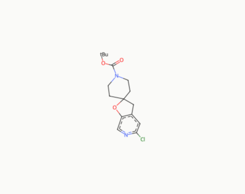 CC(C)(C)OC(=O)N1CCC2(CC1)Cc1cc(Cl)ncc1O2